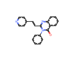 O=c1c2ccccc2nc(C=Cc2ccncc2)n1-c1ccccc1